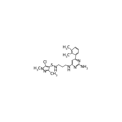 Cc1cccc(-c2cc(NCCCNSc3c(C)nn(C)c3Cl)nc(N)n2)c1C